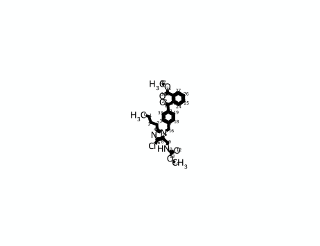 CCCCc1nc(Cl)c(CNC(=O)OC)n1Cc1ccc(C(=O)c2ccccc2C(=O)OC)cc1